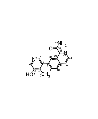 Cc1c(O)cncc1-c1ccc2c[c]nc(C(N)=O)c2c1